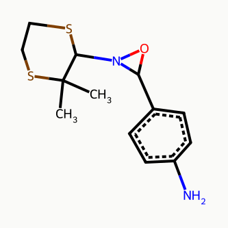 CC1(C)SCCSC1N1OC1c1ccc(N)cc1